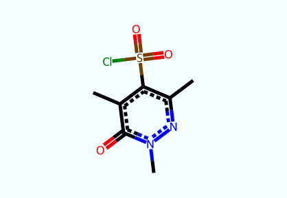 Cc1nn(C)c(=O)c(C)c1S(=O)(=O)Cl